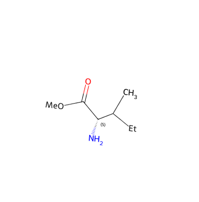 CCC(C)[C@H](N)C(=O)OC